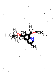 C=C(OCC)c1cc(C(C)(C)O[SiH2]C(C)(C)C)cc2cc(C)cnc12